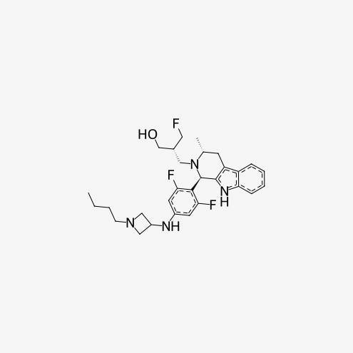 CCCCN1CC(Nc2cc(F)c([C@@H]3c4[nH]c5ccccc5c4C[C@@H](C)N3C[C@H](CO)CF)c(F)c2)C1